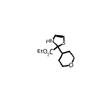 CCOC(=O)C1(C2CCOCC2)NC=CS1